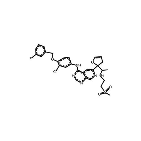 CC(NCCS(C)(=O)=O)C1(c2cc3c(Nc4ccc(OCc5cccc(F)c5)c(Cl)c4)ncnc3cn2)CC=CO1